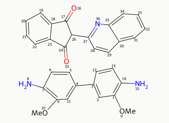 COc1cc(-c2ccc(N)c(OC)c2)ccc1N.O=C1c2ccccc2C(=O)C1c1ccc2ccccc2n1